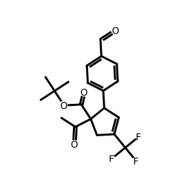 CC(=O)C1(C(=O)OC(C)(C)C)CC(C(F)(F)F)=CC1c1ccc(C=O)cc1